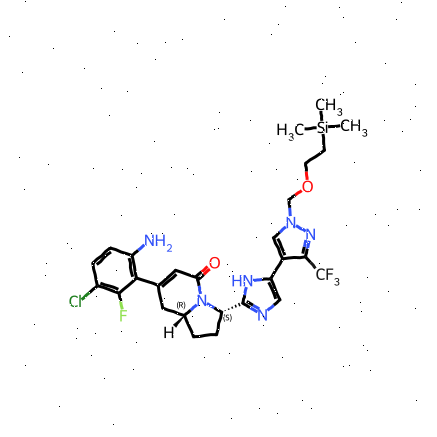 C[Si](C)(C)CCOCn1cc(-c2cnc([C@@H]3CC[C@@H]4CC(c5c(N)ccc(Cl)c5F)=CC(=O)N43)[nH]2)c(C(F)(F)F)n1